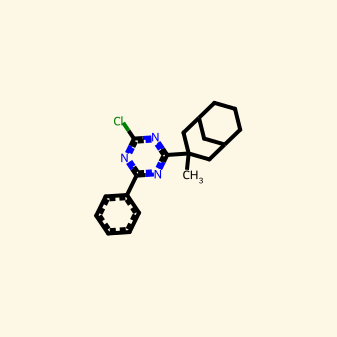 CC1(c2nc(Cl)nc(-c3ccccc3)n2)CC2CCCC(C2)C1